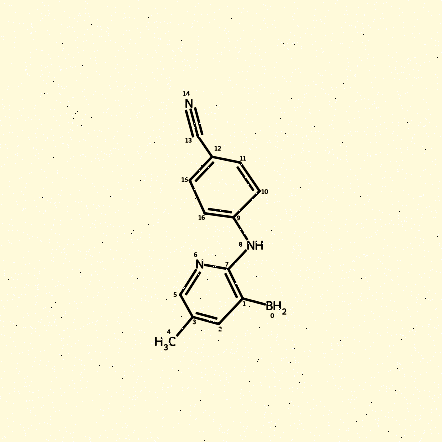 Bc1cc(C)cnc1Nc1ccc(C#N)cc1